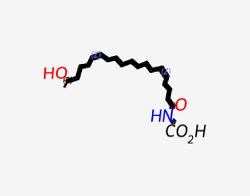 C[C@@H](O)CCC/C=C\CCCCCCC/C=C\CCCC(=O)NCC(=O)O